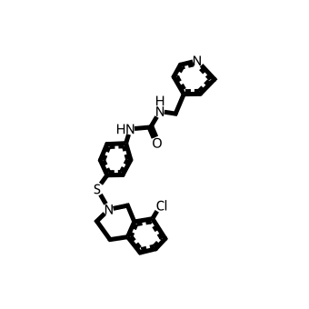 O=C(NCc1ccncc1)Nc1ccc(SN2CCc3cccc(Cl)c3C2)cc1